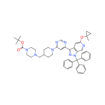 CC(C)(C)OC(=O)N1CCN(CC2CCN(c3cc(-c4nn(C(c5ccccc5)(c5ccccc5)c5ccccc5)c5cnc(OC6(C)CC6)cc45)ncn3)CC2)CC1